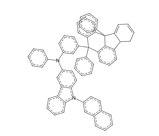 C1=CCC2C(=C1)C1(c3ccccc3)c3ccccc3C(c3ccccc3)(c3cccc(N(c4ccccc4)c4ccc5c(c4)c4ccccc4n5-c4ccc5ccccc5c4)c3)c3cccc2c31